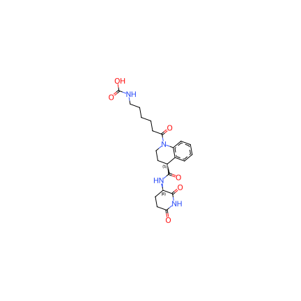 O=C(O)NCCCCCC(=O)N1CC[C@H](C(=O)N[C@@H]2CCC(=O)NC2=O)c2ccccc21